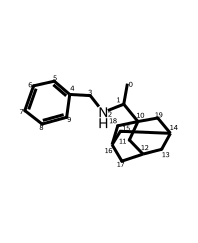 CC(NCc1ccccc1)C12CC3CC(CC(C3)C1)C2